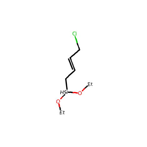 CCO[SiH](CC=CCCl)OCC